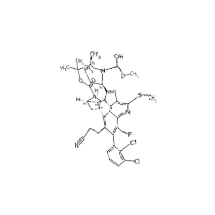 COC(O)N1[C@H](C)CC[C@@H]1c1cc2c(SC)nc3c(F)c(-c4cccc(Cl)c4Cl)c(CCC#N)cc3c2n1[C@H]1[C@@H]2C[C@H]1N(C(=O)OC(C)(C)C)C2